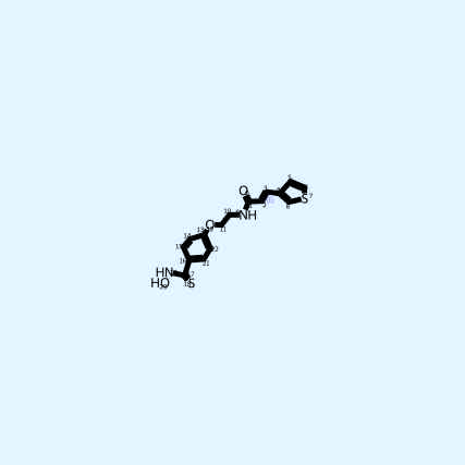 O=C(/C=C/c1ccsc1)NCCOc1ccc(C(=S)NO)cc1